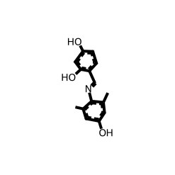 Cc1cc(O)cc(C)c1/N=C/c1ccc(O)cc1O